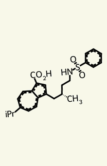 CC(C)c1ccc2c(C[C@@H](C)CCNS(=O)(=O)c3ccccc3)cc(C(=O)O)c-2cc1